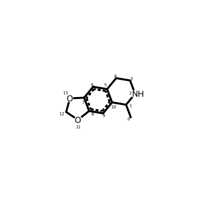 CC1NCCc2cc3c(cc21)OCO3